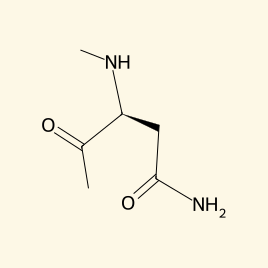 CN[C@@H](CC(N)=O)C(C)=O